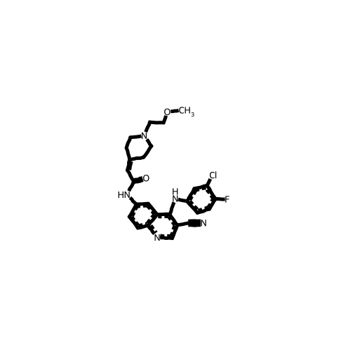 COCCN1CCC(=CC(=O)Nc2ccc3ncc(C#N)c(Nc4ccc(F)c(Cl)c4)c3c2)CC1